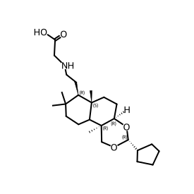 CC1(C)CCC2[C@]3(C)CO[C@@H](C4CCCC4)O[C@@H]3CC[C@@]2(C)[C@@H]1CCNCC(=O)O